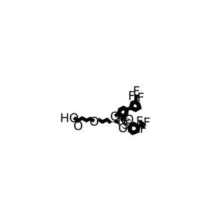 O=C(O)CCCOCCCC[C@H]1CN(S(=O)(=O)c2cccc(C(F)(F)F)c2)c2cc(-c3cccc(C(F)(F)F)c3)ccc2O1